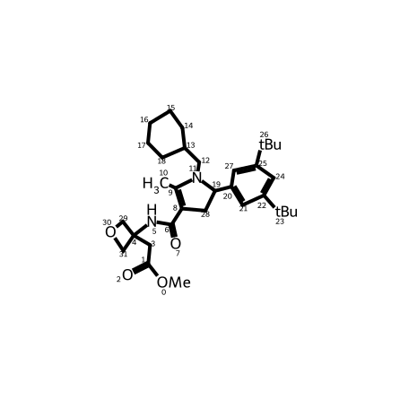 COC(=O)CC1(NC(=O)C2=C(C)N(CC3CCCCC3)C(c3cc(C(C)(C)C)cc(C(C)(C)C)c3)C2)COC1